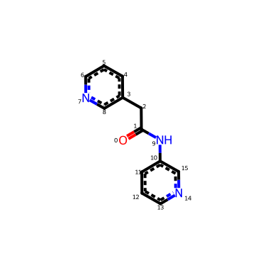 O=C(Cc1cccnc1)Nc1cccnc1